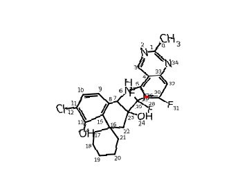 Cc1ncc2c(NC3c4ccc(Cl)c(O)c4C4(CCCCC4)CC3(O)C(F)(F)F)cc(F)cc2n1